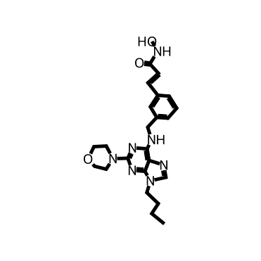 CCCCn1cnc2c(NCc3cccc(/C=C/C(=O)NO)c3)nc(N3CCOCC3)nc21